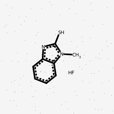 Cn1c(S)nc2ccccc21.F